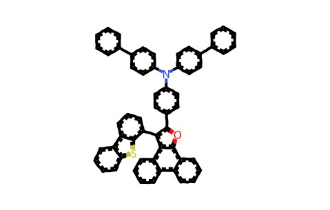 c1ccc(-c2ccc(N(c3ccc(-c4ccccc4)cc3)c3ccc(-c4oc5c6ccccc6c6ccccc6c5c4-c4cccc5c4sc4ccccc45)cc3)cc2)cc1